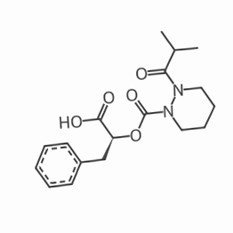 CC(C)C(=O)N1CCCCN1C(=O)O[C@@H](Cc1ccccc1)C(=O)O